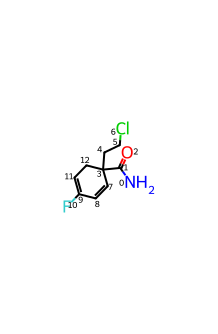 NC(=O)C1(CCCl)C=CC(F)=CC1